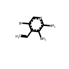 C=Cc1c(Br)cnc(N)c1N